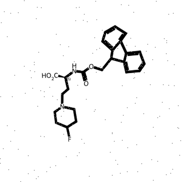 O=C(N[C@@H](CCN1CCC(F)CC1)C(=O)O)OCC1c2ccccc2-c2ccccc21